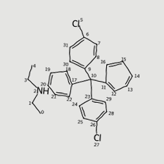 CCNCC.Clc1ccc(C(c2ccccc2)(c2ccccc2)c2ccc(Cl)cc2)cc1